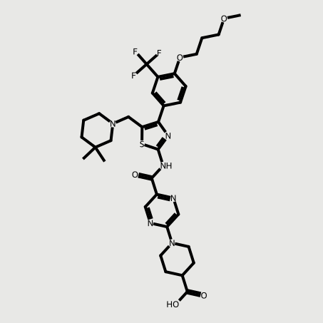 COCCCOc1ccc(-c2nc(NC(=O)c3cnc(N4CCC(C(=O)O)CC4)cn3)sc2CN2CCCC(C)(C)C2)cc1C(F)(F)F